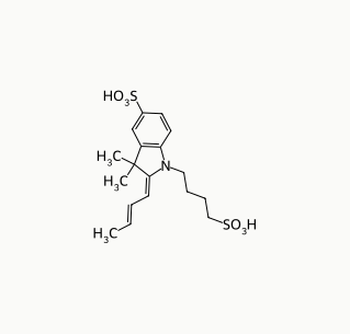 CC=C/C=C1/N(CCCCS(=O)(=O)O)c2ccc(S(=O)(=O)O)cc2C1(C)C